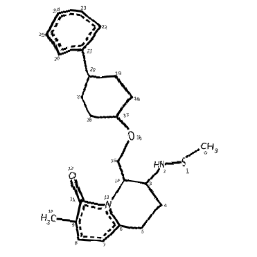 CSNC1CCc2ccc(C)c(=O)n2C1COC1CCC(c2ccccc2)CC1